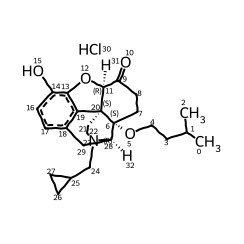 CC(C)CCO[C@@]12CCC(=O)[C@@H]3Oc4c(O)ccc5c4[C@@]31CCN(CC1CC1)[C@@H]2C5.Cl